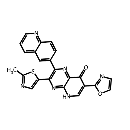 Cc1ncc(-c2nc3[nH]cc(-c4ncco4)c(=O)c3nc2-c2ccc3ncccc3c2)s1